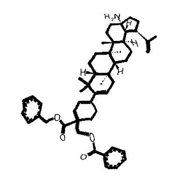 C=C(C)[C@@H]1CC[C@]2(N)CC[C@]3(C)[C@H](CC[C@@H]4[C@@]5(C)CC=C(C6=CCC(COC(=O)c7ccccc7)(C(=O)OCc7ccccc7)CC6)C(C)(C)[C@@H]5CC[C@]43C)[C@@H]12